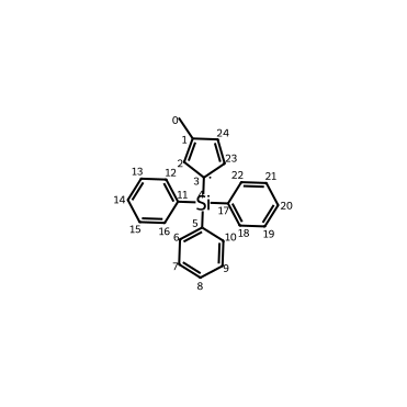 CC1=C[C]([Si](c2ccccc2)(c2ccccc2)c2ccccc2)C=C1